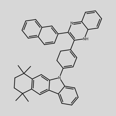 CC1(C)CCC(C)(C)c2cc3c(cc21)c1ccccc1n3C1=CC=C(C2=C(c3ccc4ccccc4c3)N=C3C=CC=CC3N2)CC1